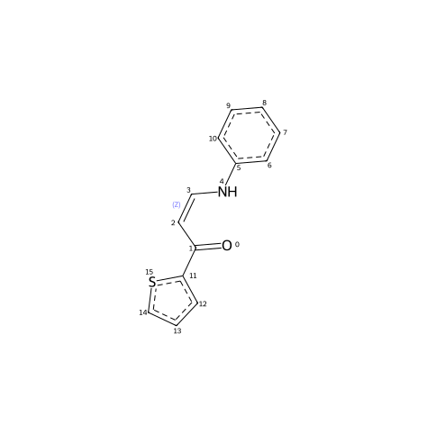 O=C(/C=C\Nc1ccccc1)c1cccs1